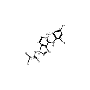 CC(C)c1cc(F)cc(Cl)c1Nc1nccc2c1ncn2CC(=O)N(C)C